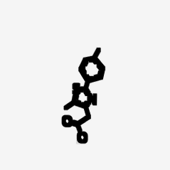 COC(=O)Cc1nc(-c2ccc(C)cc2)sc1C